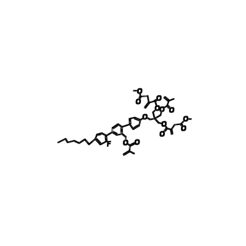 C=C(C)C(=O)OCc1cc(-c2ccc(CCCCCCC)cc2F)ccc1-c1ccc(OCC(COC(=O)C(=C)C)(COC(=O)C(=C)CC(=O)OC)COC(=O)C(=C)CC(=O)OC)cc1